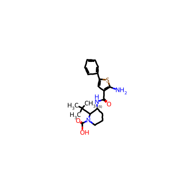 CC(C)(C)C1[C@@H](NC(=O)c2cc(-c3ccccc3)sc2N)CCCN1C(=O)O